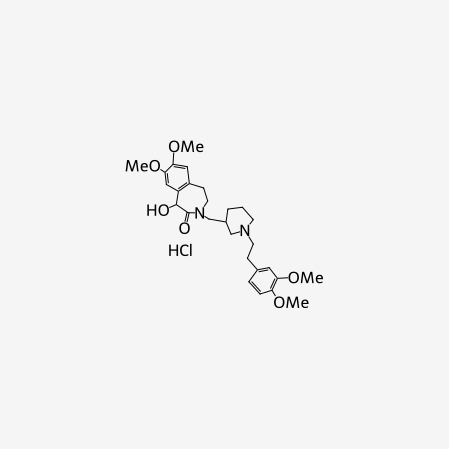 COc1ccc(CCN2CCCC(CN3CCc4cc(OC)c(OC)cc4C(O)C3=O)C2)cc1OC.Cl